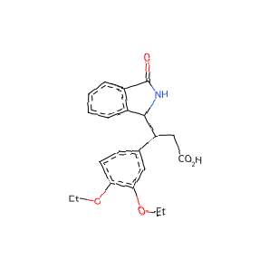 CCOc1ccc(C(CC(=O)O)C2NC(=O)c3ccccc32)cc1OCC